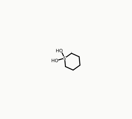 OS1(O)[CH]CCCC1